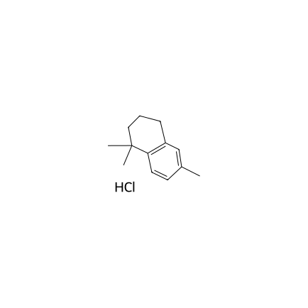 Cc1ccc2c(c1)CCCC2(C)C.Cl